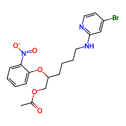 CC(=O)OCC(CCCCNc1cc(Br)ccn1)Oc1ccccc1[N+](=O)[O-]